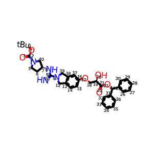 CC(C)(C)OC(=O)N1CC[C@@H](NC(=N)N2Cc3ccc(OC[C@@H](O)C(=O)OC(c4ccccc4)c4ccccc4)cc3C2)C1